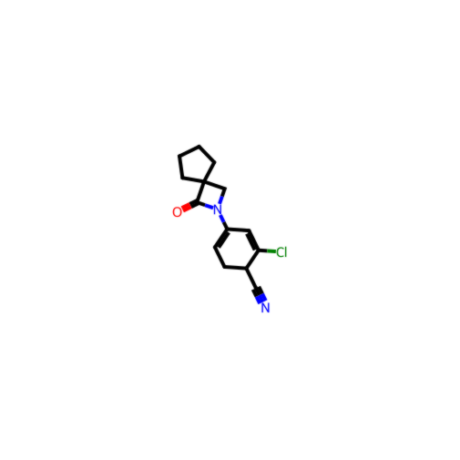 N#CC1CC=C(N2CC3(CCCC3)C2=O)C=C1Cl